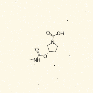 CNC(=O)O[C@H]1CCN(C(=O)O)C1